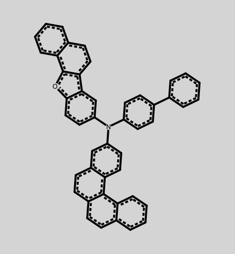 c1ccc(-c2ccc(N(c3ccc4c(ccc5ccc6ccccc6c54)c3)c3ccc4oc5c6ccccc6ccc5c4c3)cc2)cc1